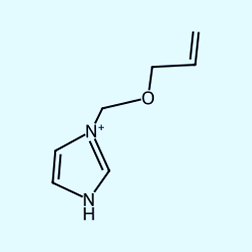 C=CCOC[n+]1cc[nH]c1